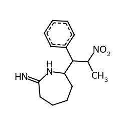 CC(C(c1ccccc1)C1CCCCC(=N)N1)[N+](=O)[O-]